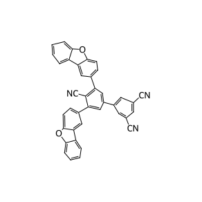 N#Cc1cc(C#N)cc(-c2cc(-c3ccc4oc5ccccc5c4c3)c(C#N)c(-c3ccc4oc5ccccc5c4c3)c2)c1